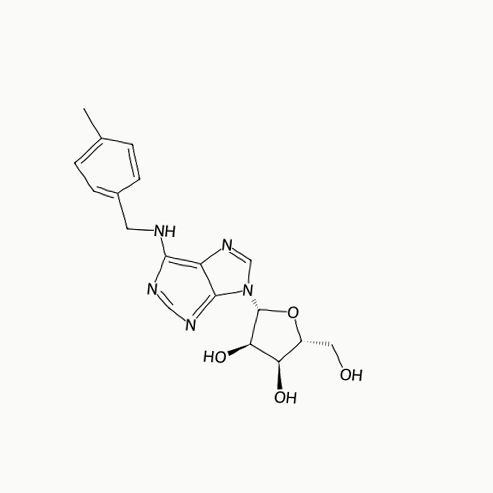 Cc1ccc(CNc2ncnc3c2ncn3[C@@H]2O[C@H](CO)[C@@H](O)[C@H]2O)cc1